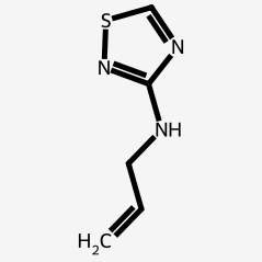 C=CCNc1ncsn1